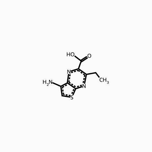 CCc1nc2scc(N)c2nc1C(=O)O